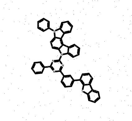 c1ccc(-c2nc(-c3cccc(-c4cccc5c4sc4ccccc45)c3)nc(-n3c4ccccc4c4c5c6ccccc6n(-c6ccccc6)c5ccc43)n2)cc1